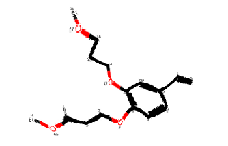 C=Cc1ccc(OCCCOCC)c(OCCCOCC)c1